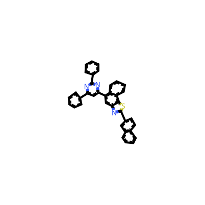 c1ccc(-c2cc(-c3cc4nc(-c5ccc6ccccc6c5)sc4c4ccccc34)nc(-c3ccccc3)n2)cc1